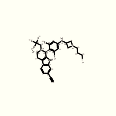 C#Cc1ccc2c3c([nH]c2c1)[C@H](c1c(F)cc(NC2CN(CCCF)C2)cc1F)N(CC(F)(F)F)[C@@H](C)C3